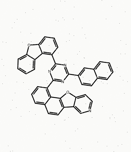 c1ccc2cc(-c3nc(-c4cccc5oc6ccccc6c45)nc(-c4cccc5ccc6c7cnccc7oc6c45)n3)ccc2c1